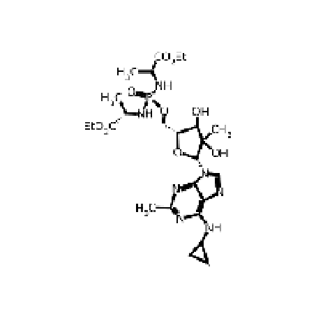 CCOC(=O)[C@H](C)NP(=O)(N[C@@H](C)C(=O)OCC)OC[C@H]1O[C@@H](n2cnc3c(NC4CC4)nc(C)nc32)[C@@](C)(O)C1O